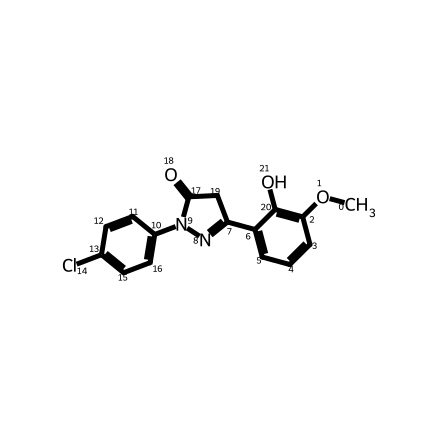 COc1cccc(C2=NN(c3ccc(Cl)cc3)C(=O)C2)c1O